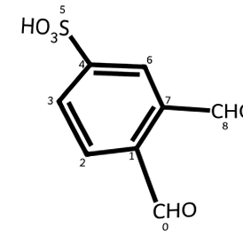 O=Cc1ccc(S(=O)(=O)O)cc1C=O